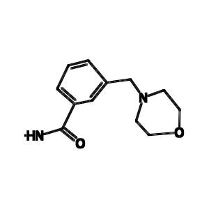 [NH]C(=O)c1cccc(CN2CCOCC2)c1